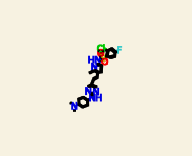 Cc1nc(NS(=O)(=O)c2ccc(F)cc2Cl)ccc1/C=C/c1cnc(NC2CCC(N(C)C)CC2)nc1